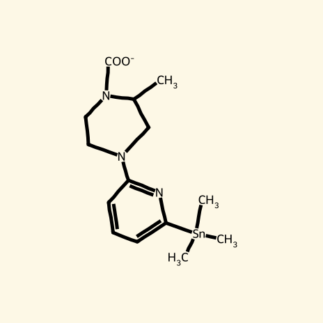 CC1CN(c2ccc[c]([Sn]([CH3])([CH3])[CH3])n2)CCN1C(=O)[O-]